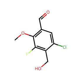 COc1c(C=O)cc(Cl)c(CO)c1F